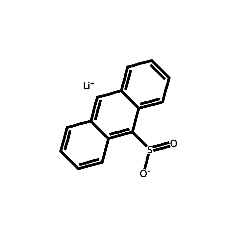 O=S([O-])c1c2ccccc2cc2ccccc12.[Li+]